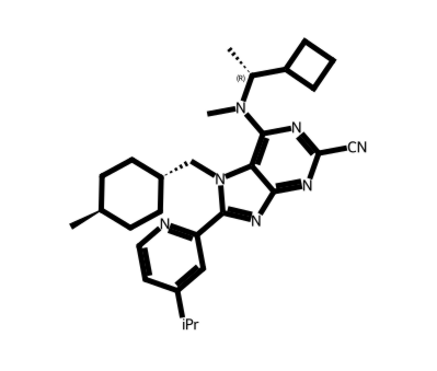 CC(C)c1ccnc(-c2nc3nc(C#N)nc(N(C)[C@H](C)C4CCC4)c3n2C[C@H]2CC[C@H](C)CC2)c1